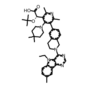 CCn1c2ccc(C)cc2c2ncnc(N3CCc4cc(-c5c(C)nc(C)c([C@H](OC(C)(C)C)C(=O)O)c5N5CCC(C)(C)CC5)ccc4C3)c21